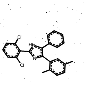 Cc1ccc(C)c(-c2nc(-c3c(Cl)cccc3Cl)[nH]c2-c2ccccc2)c1